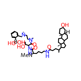 CNC(CCCCNC(=O)CCC(C)C1CCC2C3CC[C@H]4C[C@@H](O)CC[C@@]4(C)C3CC[C@@]12C)C(=O)NC(C(=O)N(C)CCN(C)Cc1ccccc1B(O)O)C(C)O